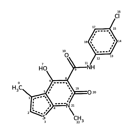 Cc1csc2c1c(O)c(C(=O)Nc1ccc(Cl)cc1)c(=O)n2C